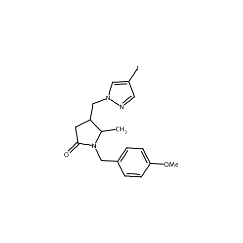 COc1ccc(CN2C(=O)CC(Cn3cc(I)cn3)C2C)cc1